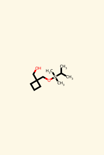 CC(C)[Si](C)(C)OCC1(CO)CCC1